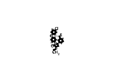 C=CC[C@@H]1C[C@H](c2cccc(CF)c2)N(c2ccc(Oc3ccc(Cl)cc3)cc2)C1=O